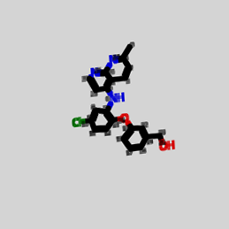 Cc1ccc2c(Nc3cc(Cl)ccc3Oc3cccc(CO)c3)ccnc2n1